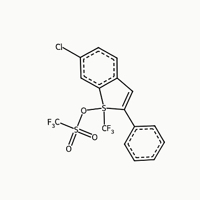 O=S(=O)(OS1(C(F)(F)F)C(c2ccccc2)=Cc2ccc(Cl)cc21)C(F)(F)F